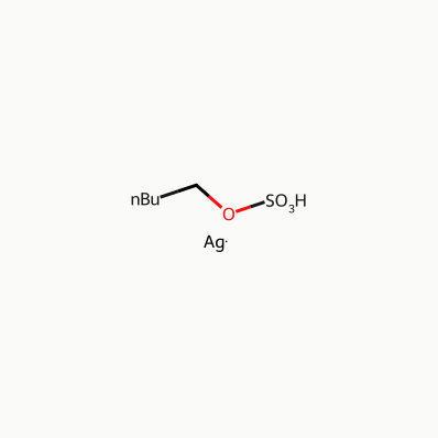 CCCCCOS(=O)(=O)O.[Ag]